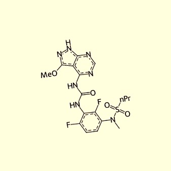 CCCS(=O)(=O)N(C)c1ccc(F)c(NC(=O)Nc2ncnc3[nH]nc(OC)c23)c1F